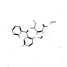 CCOC(=O)c1ncn2c1C(CC)N=C(c1ccccc1F)c1cc(Br)ccc1-2